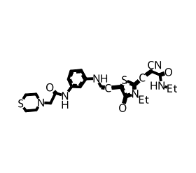 CCNC(=O)C(=C=c1sc(=C=CNc2cccc(NC(=O)CN3CCSCC3)c2)c(=O)n1CC)C#N